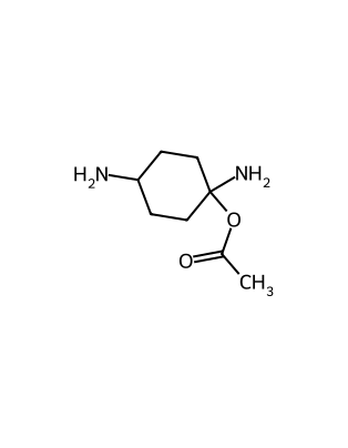 CC(=O)OC1(N)CCC(N)CC1